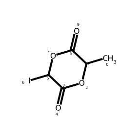 CC1OC(=O)C(I)OC1=O